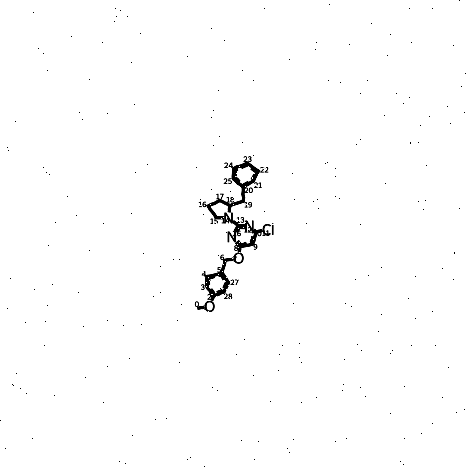 COc1ccc(COc2cc(Cl)nc(N3CCCC3Cc3ccccc3)n2)cc1